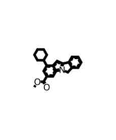 COC(=O)c1cc(C2CCCCC2)c2cc3n(c2c1)Cc1ccccc1-3